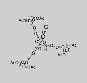 CC(=O)NC1C(OCCOCCOCCNC(=O)CN(CC(=O)NCCOCCOCCOC2OC(COC(C)=O)C(C)C(C)C2NC(C)=O)C(Cc2ccc(OCc3ccccc3)cc2)C(=O)NCCOCCOCCOC2OC(COC(C)=O)C(C)C(C)C2NC(C)=O)OC(COC(C)=O)C(C)C1C